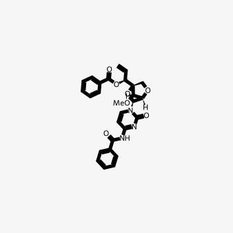 C=C[C@H](OC(=O)c1ccccc1)[C@@]12CO[C@@H]([C@H](n3ccc(NC(=O)c4ccccc4)nc3=O)O1)[C@@H]2OC